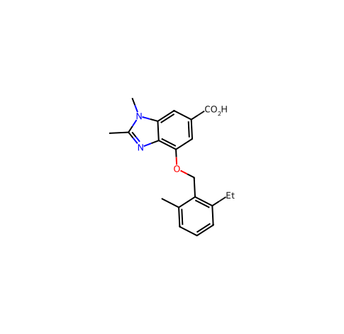 CCc1cccc(C)c1COc1cc(C(=O)O)cc2c1nc(C)n2C